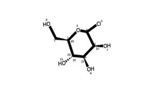 OC[C@H]1OC(Cl)[C@@H](O)[C@@H](O)[C@@H]1O